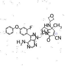 CC(C)(/C=C(/C#N)C(=O)N1CCC[C@H]1Cn1nc(-c2ccc(Oc3ccccc3)cc2F)c2c(N)ncnc21)NC1COC1